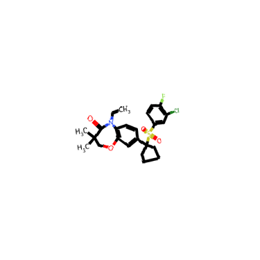 CCN1C(=O)C(C)(C)COc2cc(C3(S(=O)(=O)c4ccc(F)c(Cl)c4)CCCC3)ccc21